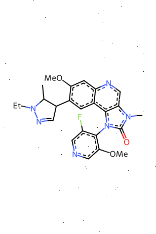 CCN1N=CC(c2cc3c(cc2OC)ncc2c3n(-c3c(F)cncc3OC)c(=O)n2C)C1C